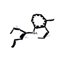 C=C/C=C(\C=C/C)Nc1cccc(C)c1/C=C\C